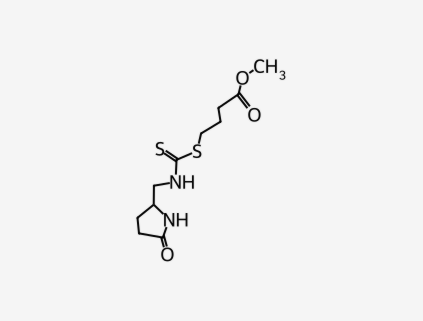 COC(=O)CCCSC(=S)NCC1CCC(=O)N1